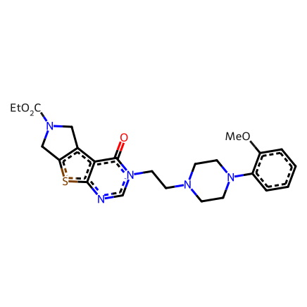 CCOC(=O)N1Cc2sc3ncn(CCN4CCN(c5ccccc5OC)CC4)c(=O)c3c2C1